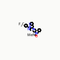 CNC(=O)N(Cc1ccccc1)C1CCN(C(Cc2ccccc2)c2[nH]c(-c3ccc(C(F)(F)F)cc3)nc2C)CC1